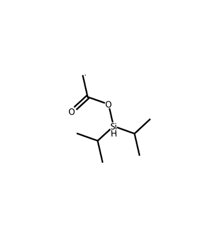 [CH2]C(=O)O[SiH](C(C)C)C(C)C